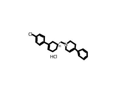 Cl.Clc1ccc(C2=CCC[C@@H](CN3CC=C(c4ccccc4)CC3)C2)cc1